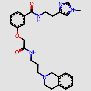 Cn1cnc(CCNC(=O)c2cccc(OCC(=O)NCCCN3CCc4ccccc4C3)c2)c1